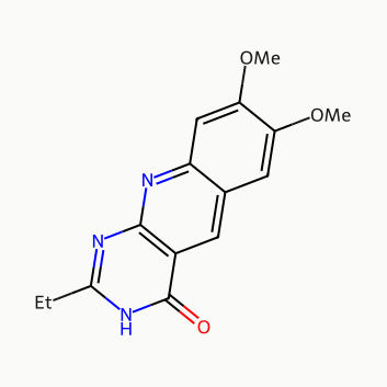 CCc1nc2nc3cc(OC)c(OC)cc3cc2c(=O)[nH]1